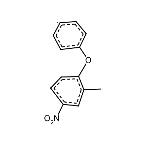 Cc1cc([N+](=O)[O-])ccc1Oc1cc[c]cc1